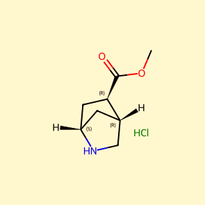 COC(=O)[C@@H]1C[C@@H]2C[C@H]1CN2.Cl